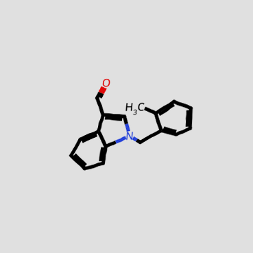 Cc1ccccc1Cn1cc(C=O)c2ccccc21